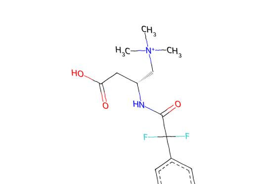 C[N+](C)(C)C[C@@H](CC(=O)O)NC(=O)C(F)(F)c1ccccc1